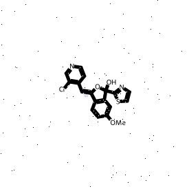 COc1ccc2c(c1)C(O)(c1nccs1)O/C2=C\c1ccncc1Cl